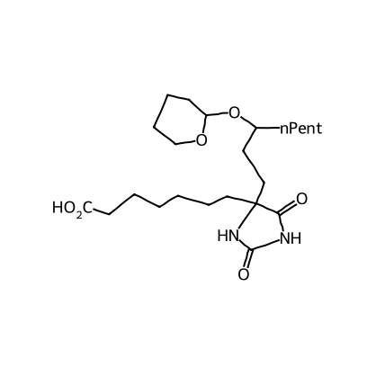 CCCCCC(CCC1(CCCCCCC(=O)O)NC(=O)NC1=O)OC1CCCCO1